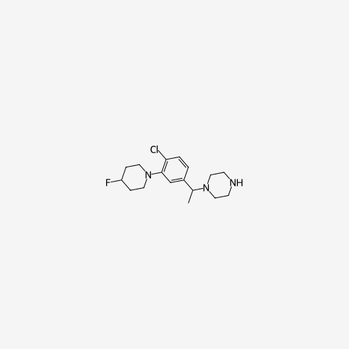 CC(c1ccc(Cl)c(N2CCC(F)CC2)c1)N1CCNCC1